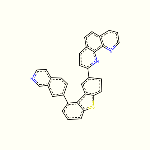 c1cnc2c(c1)ccc1ccc(-c3ccc4sc5cccc(-c6ccc7ccncc7c6)c5c4c3)nc12